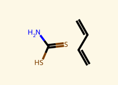 C=CC=C.NC(=S)S